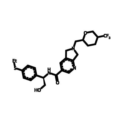 CCSc1ccc([C@H](CO)NC(=O)c2cnc3c(c2)CN(CC2CCC(C(F)(F)F)CO2)C3)cc1